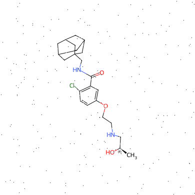 C[C@@H](O)CNCCOc1ccc(Cl)c(C(=O)NCC23CC4CC(CC(C4)C2)C3)c1